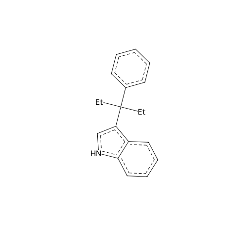 [CH2]CC(CC)(c1ccccc1)c1c[nH]c2ccccc12